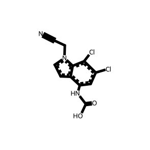 N#CCn1ccc2c(NC(=O)O)cc(Cl)c(Cl)c21